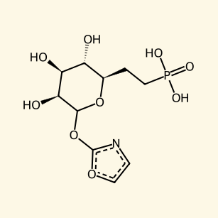 O=P(O)(O)CC[C@H]1OC(Oc2ncco2)[C@@H](O)[C@@H](O)[C@@H]1O